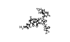 COCN1C=C2N=C(C)C=C(SCC3(C(=O)OCOC(=O)C(C)(C)C)CS[C@@H]4C(NC(=O)C(=NOC)c5csc(N)n5)C(=O)N4C3)N2N1